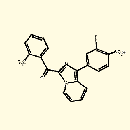 O=C(O)c1ccc(-c2nc(C(=O)c3ccccc3C(F)(F)F)n3ccccc23)cc1F